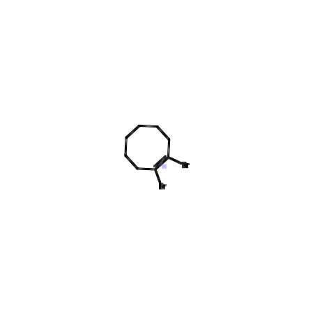 Br/C1=C(\Br)CCCCCC1